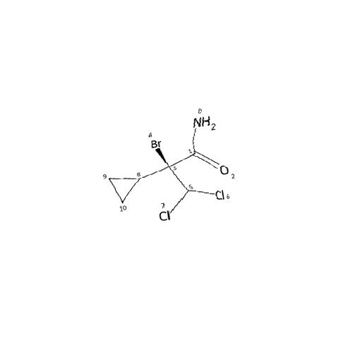 NC(=O)[C@](Br)(C(Cl)Cl)C1CC1